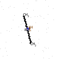 CCCCCCCCCCCCN(CCCCCCCCCCCC)C(=S)S.[Mo]